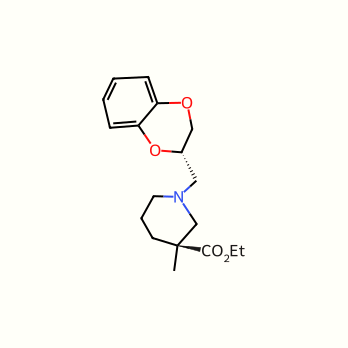 CCOC(=O)[C@@]1(C)CCCN(C[C@H]2COc3ccccc3O2)C1